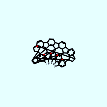 Fc1ccc(C23CC4C#CC5CC6(c7ccc(F)cc7)C7=C2C2C8=C7C7(c9ccc(F)cc9)C9=C%10C(CCC9C9C=CC5C6C97)C5C=CC6c7ccc4c3c7C2(c2ccc(F)cc2)C6C5C%108c2ccc(F)cc2)cc1